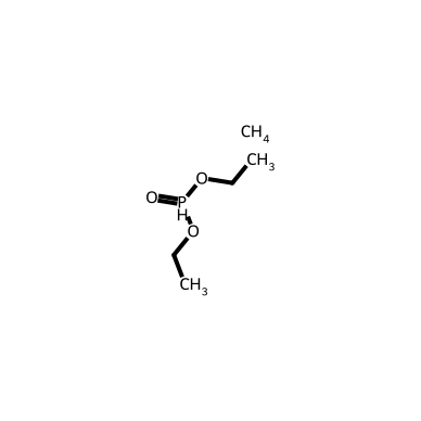 C.CCO[PH](=O)OCC